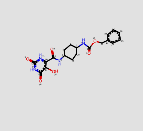 O=C(NC1CCC(NC(=O)c2[nH]c(=O)[nH]c(=O)c2O)CC1)OCc1ccccc1